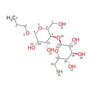 CCCO[C@@H]1OC(CO)[C@@H](O[C@@H]2OC(CS)[C@@H](O)[C@H](O)C2O)[C@H](O)C1O